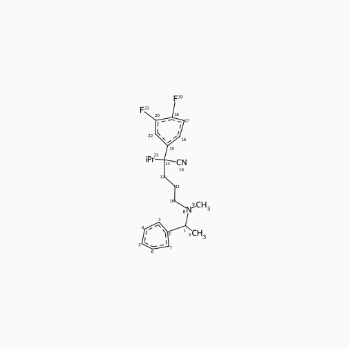 CC(c1ccccc1)N(C)CCCC(C#N)(c1ccc(F)c(F)c1)C(C)C